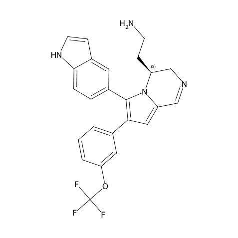 NCC[C@H]1CN=Cc2cc(-c3cccc(OC(F)(F)F)c3)c(-c3ccc4[nH]ccc4c3)n21